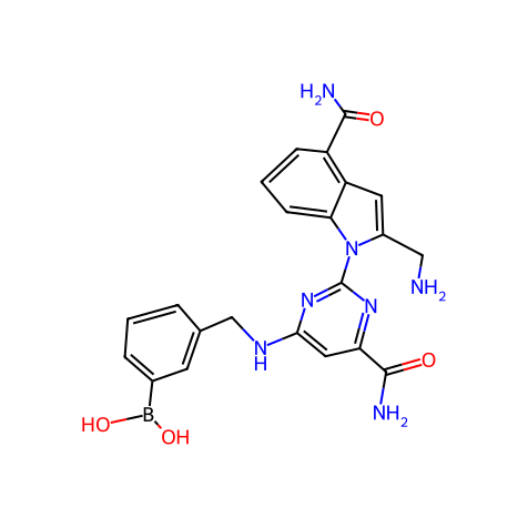 NCc1cc2c(C(N)=O)cccc2n1-c1nc(NCc2cccc(B(O)O)c2)cc(C(N)=O)n1